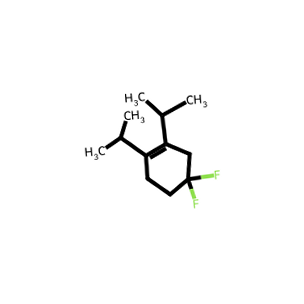 CC(C)C1=C(C(C)C)CC(F)(F)CC1